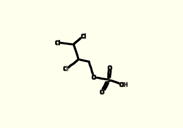 O=S(=O)(O)OCC(Cl)C(Cl)Cl